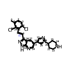 Cc1ccc(Cl)c(/C=C/c2n[nH]c3ncc(-c4cnn(C5CCNCC5)c4)cc23)c1Cl